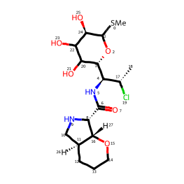 CSC1O[C@H]([C@H](NC(=O)[C@H]2NC[C@@H]3CCCO[C@H]32)[C@H](C)Cl)C(O)C(O)[C@H]1O